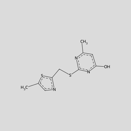 Cc1cc(O)nc(SCc2ncc(C)s2)n1